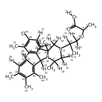 [2H]OC(=O)C(C)OC([2H])([2H])C([2H])(C)N1C([2H])([2H])C([2H])(C)N(C([2H])(c2c([2H])c([2H])c(Cl)c(C)c2[2H])c2c([2H])c([2H])c(C)c(C)c2C)C([2H])(C)C1([2H])[2H]